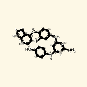 Nc1nc(Nc2ccc(O)cc2)cc(Nc2ccc(Oc3ccnc4[nH]ccc34)c(F)c2)n1